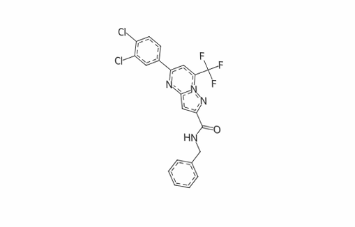 O=C(NCc1ccccc1)c1cc2nc(-c3ccc(Cl)c(Cl)c3)cc(C(F)(F)F)n2n1